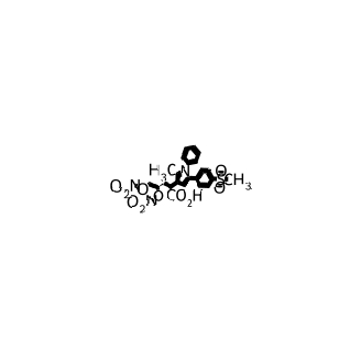 Cc1c([C@@H](C[C@@H](CO[N+](=O)[O-])O[N+](=O)[O-])C(=O)O)cc(-c2ccc(S(C)(=O)=O)cc2)n1-c1ccccc1